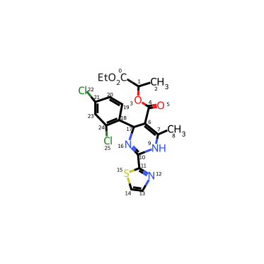 CCOC(=O)C(C)OC(=O)C1=C(C)NC(c2nccs2)=NC1c1ccc(Cl)cc1Cl